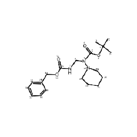 CC(C)(C)OC(=O)N(CNC(=O)OCc1ccccc1)N1CCCCC1